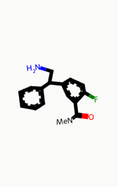 CNC(=O)c1cc(C(CN)c2ccccc2)ccc1F